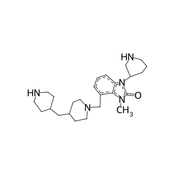 Cn1c(=O)n(C2CCCNC2)c2cccc(CN3CCC(CC4CCNCC4)CC3)c21